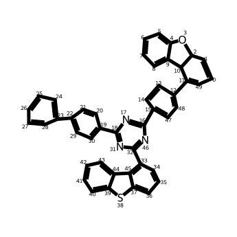 C1=CC2Oc3ccccc3C2C(c2ccc(-c3nc(-c4ccc(-c5ccccc5)cc4)nc(-c4cccc5sc6ccccc6c45)n3)cc2)=C1